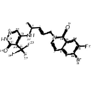 CC(C=CCn1ccc2cc(Br)c(F)cc2c1=O)Nc1cn[nH]c(=O)c1C(F)(F)F